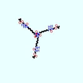 C=C(C)C(=O)OCCNC(=O)NCCCCCCCCn1c(=O)n(CCCCCCCCNC(=O)NCCOC(=O)C(=C)C)c(=O)n(CCCCCCCCNC(=O)NCCOC(=O)C(=C)C)c1=O